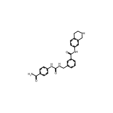 NC(=O)c1ccc(NC(=O)NCc2cccc(C(=O)Nc3ccc4c(c3)CNCC4)c2)cc1